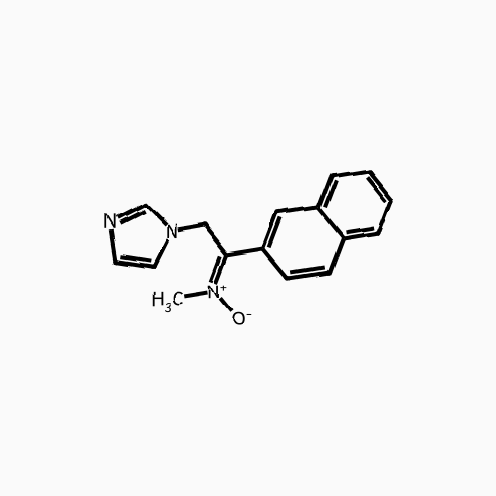 C[N+]([O-])=C(Cn1ccnc1)c1ccc2ccccc2c1